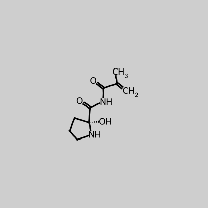 C=C(C)C(=O)NC(=O)[C@]1(O)CCCN1